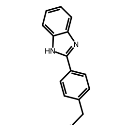 [CH2]Cc1ccc(-c2nc3ccccc3[nH]2)cc1